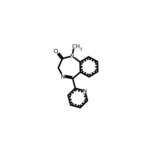 CN1C(=O)CN=C(c2ccccn2)c2ccccc21